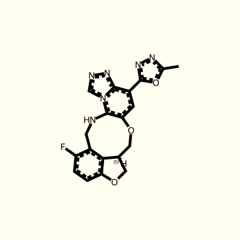 Cc1nnc(-c2cc3c(n4cnnc24)NCc2c(F)ccc4c2[C@@H](CO4)CO3)o1